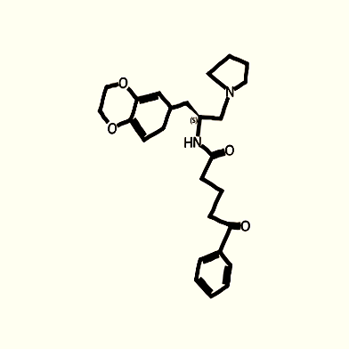 O=C(CCCC(=O)c1ccccc1)N[C@@H](CC1C=C2OCCOC2=CC1)CN1CCCC1